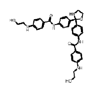 O=C(Nc1ccc(C2(c3ccc(NC(=O)c4ccc(NCCO)cc4)cc3)NCCO2)cc1)c1ccc(NCCO)cc1